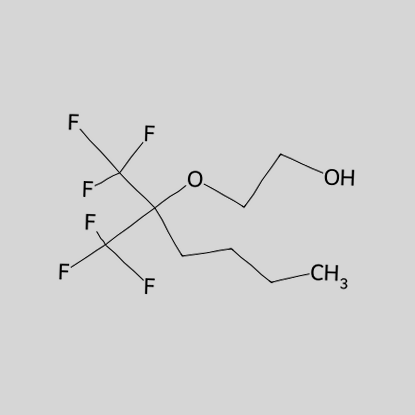 CCCCC(OCCO)(C(F)(F)F)C(F)(F)F